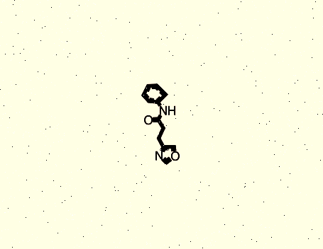 O=C(CCc1cocn1)Nc1ccccc1